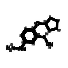 NNc1ccc(OC2CCCC2)c(SO)c1